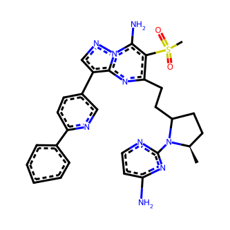 C[C@@H]1CCC(CCc2nc3c(-c4ccc(-c5ccccc5)nc4)cnn3c(N)c2S(C)(=O)=O)N1c1nccc(N)n1